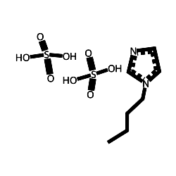 CCCCn1ccnc1.O=S(=O)(O)O.O=S(=O)(O)O